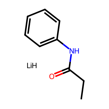 CCC(=O)Nc1ccccc1.[LiH]